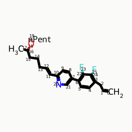 C=CCc1ccc(-c2ccc(C=CCCCC(C)OCCCCC)nc2)c(F)c1F